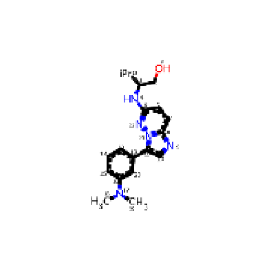 CC(C)C(CO)Nc1ccc2ncc(-c3cccc(N(C)C)c3)n2n1